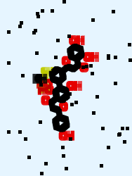 O=c1cc(-c2ccc(O)c(-c3c(O)cc4oc(-c5ccc(O)cc5)cc(=O)c4c3O)c2)oc2cc(O)cc(O)c12.SSSS.[KH]